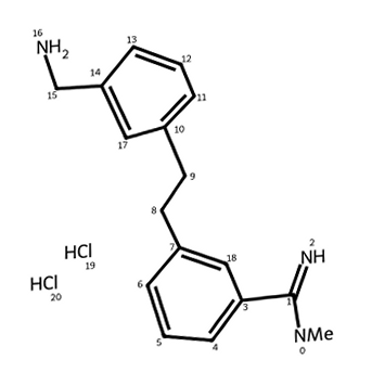 CNC(=N)c1cccc(CCc2cccc(CN)c2)c1.Cl.Cl